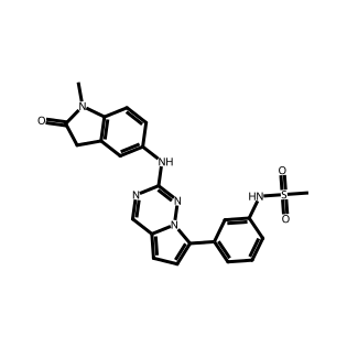 CN1C(=O)Cc2cc(Nc3ncc4ccc(-c5cccc(NS(C)(=O)=O)c5)n4n3)ccc21